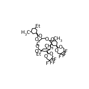 CCC1C/C(=C2/OC3COC(=O)C4(CC)CC(=C5OCC(F)(F)C(F)(F)CO5)C(CC5(CC(=C6OCC(F)(F)C(F)(F)CO6)CC(C)C5)C(=O)OCC3O2)C(C)C4)CC(C)C1